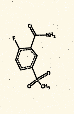 CS(=O)(=O)c1ccc(F)c(C(N)=O)c1